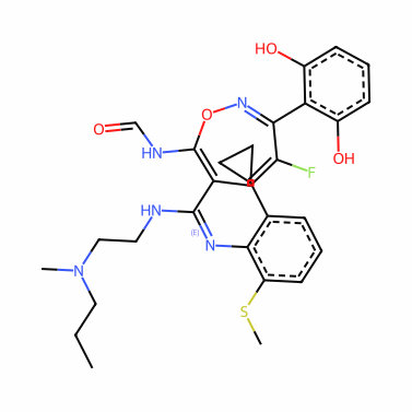 CCCN(C)CCN/C(=N/c1c(SC)cccc1C1CC1)C1=C(NC=O)ON=C(c2c(O)cccc2O)C(F)=C1